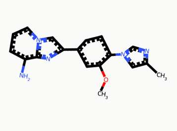 COc1cc(-c2cn3cccc(N)c3n2)ccc1-n1cnc(C)c1